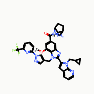 COc1cc(C(=O)N2CC3CCC2[C@@H]3N)cc2nc(-c3cc4cccnc4n3CC3CC3)n(Cc3cnn(-c4cccc(C(F)(F)F)n4)c3)c12